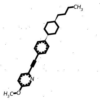 CCCC[C@H]1CC[C@H](c2ccc(C#Cc3ccc(OC)cn3)cc2)CC1